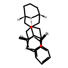 C=C1Nc2ccccc2C(=O)N1C1C[C@H]2CCC[C@@H](C1)N2[C@H]1C[C@@H]2CCC[C@@H](C2)C1